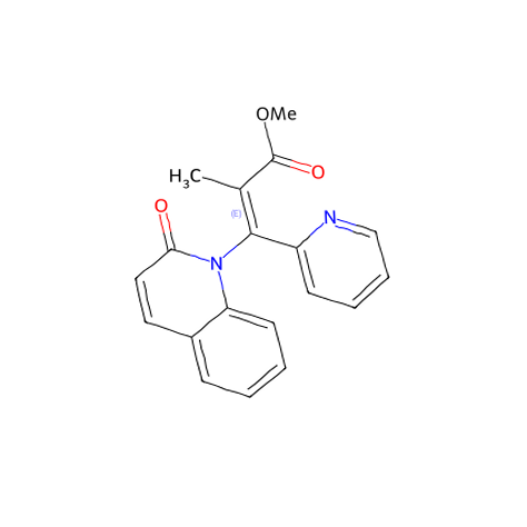 COC(=O)/C(C)=C(\c1ccccn1)n1c(=O)ccc2ccccc21